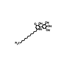 CCCCCCCCCCCCc1cc(=O)c(O)c(-c2cc(O)c(O)c(O)c2)[nH]1